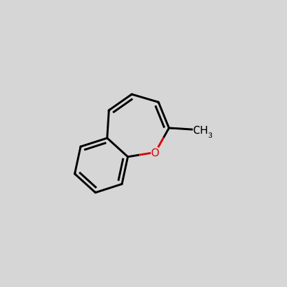 CC1=CC=Cc2ccccc2O1